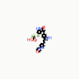 O=C(O)C(F)(F)F.O=C1Nc2ccc(F)cc2[C@]12C[C@H]2c1ccc2c(/C=C/c3ccc(N4CCOCC4)nc3)n[nH]c2c1